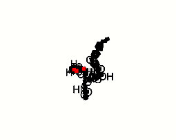 CCCCc1ccc(-c2ccc(C(=O)N3CCC(C(=O)N[C@H](C(=O)N[C@@H](C)C(=O)N[C@@H](CCCCNC(=O)OC(C)(C)C)C(=O)N[C@@H](C)B4OC5C[C@@H]6C[C@@H](C6(C)C)[C@]5(C)O4)[C@@H](C)O)CC3)cc2)cc1